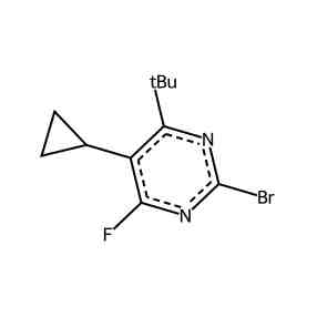 CC(C)(C)c1nc(Br)nc(F)c1C1CC1